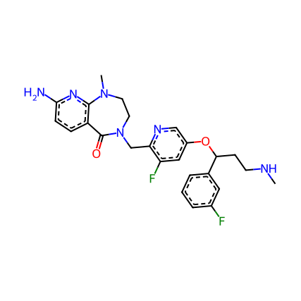 CNCCC(Oc1cnc(CN2CCN(C)c3nc(N)ccc3C2=O)c(F)c1)c1cccc(F)c1